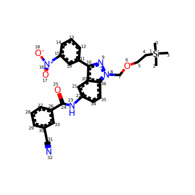 C[Si](C)(C)CCOCn1nc(-c2cccc([N+](=O)[O-])c2)c2cc(NC(=O)c3cccc(C#N)c3)ccc21